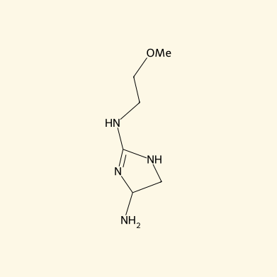 COCCNC1=NC(N)CN1